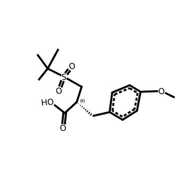 COc1ccc(C[C@@H](CS(=O)(=O)C(C)(C)C)C(=O)O)cc1